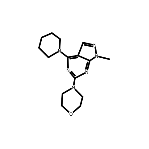 Cn1ncc2c(N3CCCCC3)nc(N3CCOCC3)nc21